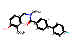 CCCCCCN(Cc1ccc(O)c(C(=O)O)c1)C(=O)c1ccc(-c2ccc(F)cc2)cc1